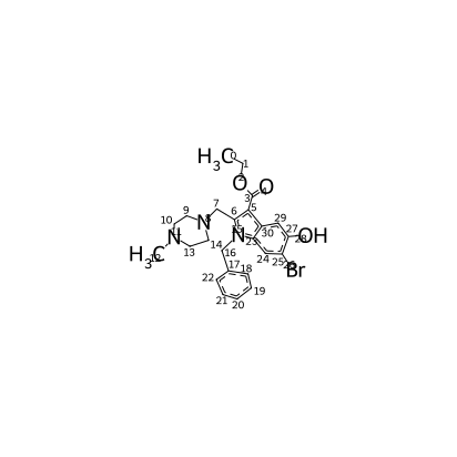 CCOC(=O)c1c(CN2CCN(C)CC2)n(Cc2ccccc2)c2cc(Br)c(O)cc12